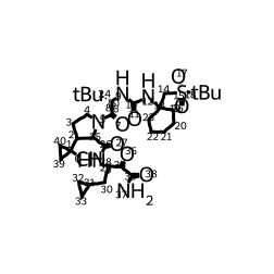 CC1(C2CCN(C(=O)[C@@H](NC(=O)NC3(CS(=O)(=O)C(C)(C)C)CCCCC3)C(C)(C)C)C2C(=O)NC(CC2CC2)C(=O)C(N)=O)CC1